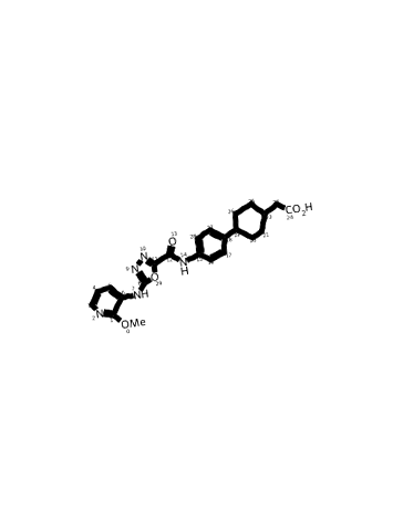 COc1ncccc1Nc1nnc(C(=O)Nc2ccc(C3CCC(CC(=O)O)CC3)cc2)o1